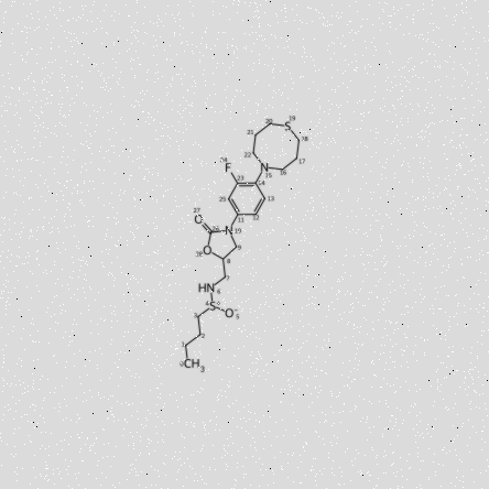 CCCC[S+]([O-])NCC1CN(c2ccc(N3CCCSCCC3)c(F)c2)C(=O)O1